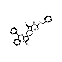 CC=CC1(C(=O)OC(c2ccccc2)c2ccccc2)CS[C@@H]2C(NC(=O)OCc3ccccc3)C(=O)N2C1